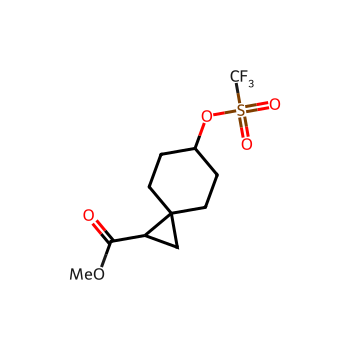 COC(=O)C1CC12CCC(OS(=O)(=O)C(F)(F)F)CC2